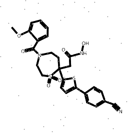 COc1ccccc1C(=O)N1CCC(CC(=O)NO)(c2ccc(-c3ccc(C#N)cc3)s2)S(=O)(=O)CC1